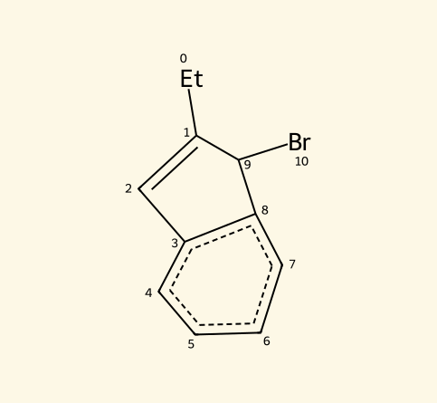 CCC1=Cc2ccccc2C1Br